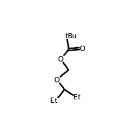 CCC(CC)OCOC(=O)C(C)(C)C